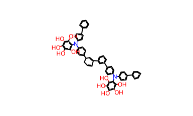 Oc1c(O)c(O)c(N(c2ccc(-c3ccccc3)cc2)c2ccc(-c3cccc(C4=CC(c5ccc(N(c6ccc(-c7ccccc7)cc6)c6c(O)c(O)c(O)c(O)c6O)cc5)CC=C4)c3)cc2)c(O)c1O